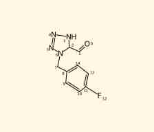 O=CC1NN=NN1Cc1ccc(F)cc1